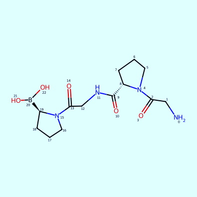 NCC(=O)N1CCC[C@H]1C(=O)NCC(=O)N1CCC[C@H]1B(O)O